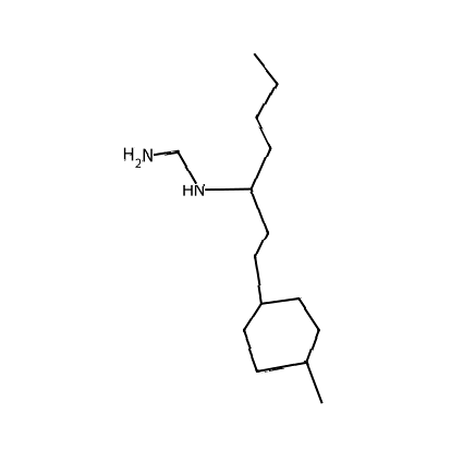 CCCCC(CCC1CCC(C)CC1)NCN